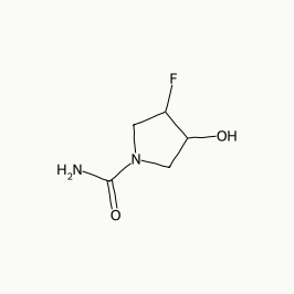 NC(=O)N1CC(O)C(F)C1